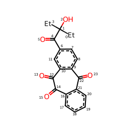 CCC(O)(CC)C(=O)c1ccc2c(c1)C(=O)C(=O)c1ccccc1C2=O